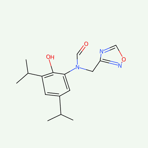 CC(C)c1cc(C(C)C)c(O)c(N(C=O)Cc2ncon2)c1